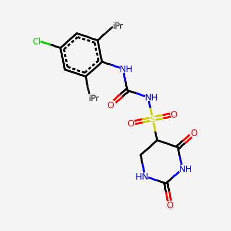 CC(C)c1cc(Cl)cc(C(C)C)c1NC(=O)NS(=O)(=O)C1CNC(=O)NC1=O